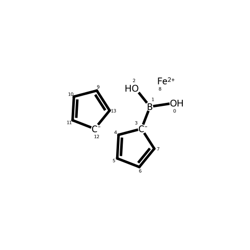 OB(O)[c-]1cccc1.[Fe+2].c1cc[cH-]c1